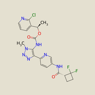 C[C@@H](OC(=O)Nc1c(-c2ccc(NC(=O)[C@H]3CCC3(F)F)cn2)nnn1C)c1cccnc1Cl